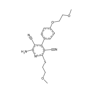 COCCOc1ccc(-c2c(C#N)c(N)nc(SCCOC)c2C#N)cc1